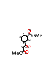 COC(=O)CC(=O)[C@@H]1CCC[C@H](C(=O)OC)C1